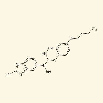 CCCN(/C(=N/c1ccc(OCCCC(F)(F)F)cc1)NC#N)c1ccc2nc(S)sc2c1